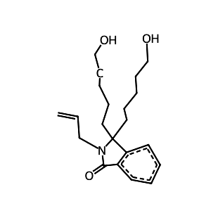 C=CCN1C(=O)c2ccccc2C1(CCCCCO)CCCCCO